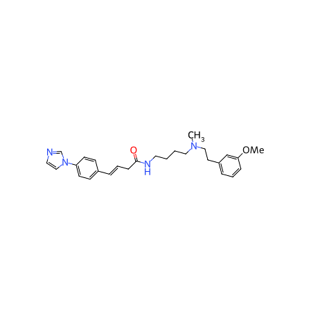 COc1cccc(CCN(C)CCCCNC(=O)C/C=C/c2ccc(-n3ccnc3)cc2)c1